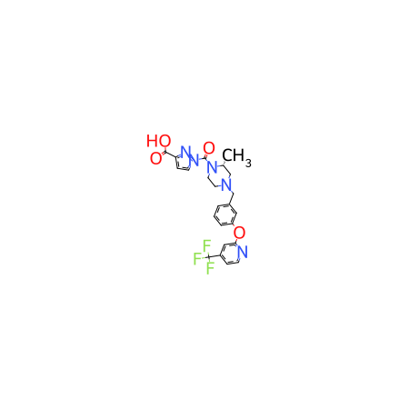 C[C@@H]1CN(Cc2cccc(Oc3cc(C(F)(F)F)ccn3)c2)CCN1C(=O)n1ccc(C(=O)O)n1